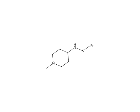 CC(C)SNC1CCN(C)CC1